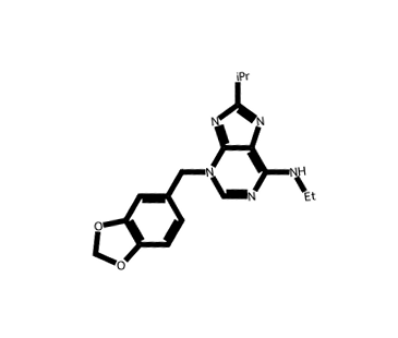 CCNc1ncn(Cc2ccc3c(c2)OCO3)c2nc(C(C)C)nc1-2